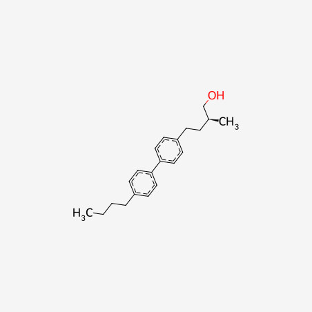 CCCCc1ccc(-c2ccc(CC[C@H](C)CO)cc2)cc1